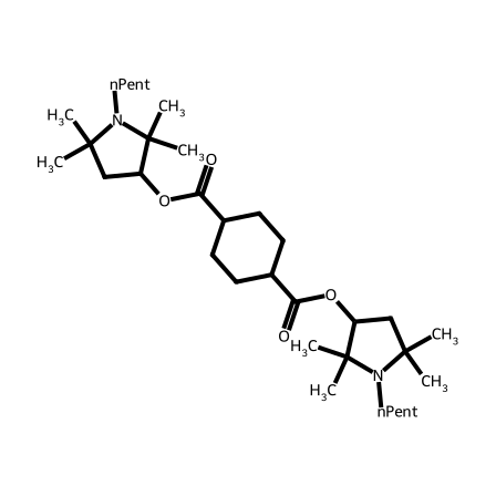 CCCCCN1C(C)(C)CC(OC(=O)C2CCC(C(=O)OC3CC(C)(C)N(CCCCC)C3(C)C)CC2)C1(C)C